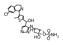 Cc1sc(C(O)c2cncnc2N[C@@H]2C[C@H](COS(N)(=O)=O)[C@@H](O)C2)cc1C1=NCCc2ccc(Cl)cc21